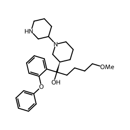 COCCCCC(O)(c1ccccc1Oc1ccccc1)[C@@H]1CCCN(C2CCCNC2)C1